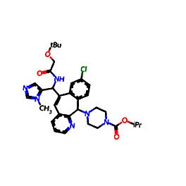 CC(C)OC(=O)N1CCN(C2c3ccc(Cl)cc3C(C(NC(=O)COC(C)(C)C)c3cncn3C)=Cc3cccnc32)CC1